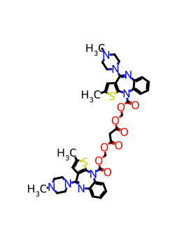 Cc1cc2c(s1)N(C(=O)OCOC(=O)CC(=O)OCOC(=O)N1c3ccccc3N=C(N3CCN(C)CC3)c3cc(C)sc31)c1ccccc1N=C2N1CCN(C)CC1